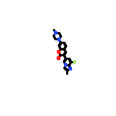 Cc1cn2cc(-c3cc4ccc(N5CCN(C)CC5)cc4oc3=O)cc(F)c2n1